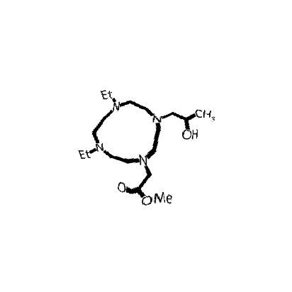 CCN1CCN(CC)CCN(CC(C)O)CCN(CC(=O)OC)CC1